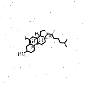 CC(C)CCC[C@@H](C)[C@H]1CC[C@H]2[C@@H]3CC(I)=C4CC(O)CC[C@]4(C)[C@H]3CC[C@]12C